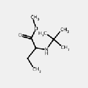 CCC(NC(C)(C)C)C(=O)OC